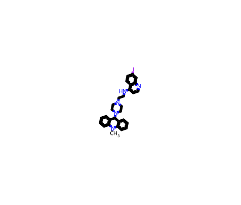 CN1c2ccccc2C(N2CCN(CCNc3ccnc4cc(I)ccc34)CC2)c2ccccc21